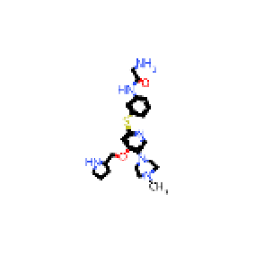 CN1CCN(c2cnc(Sc3cccc(NC(=O)CN)c3)cc2OCC2CCCN2)CC1